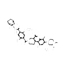 COC[C@H]1CN(c2cc(F)c3c4c(c(=O)oc3c2C)CN(C(=O)c2cc(OC)c(C(=O)NS(=O)(=O)N3C5CCC3CC5)cc2F)CC4)CCN1C